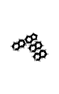 C1=Cc2ccccc2C1.c1ccc2cnccc2c1.c1ccc2cnccc2c1.c1ccc2cnccc2c1